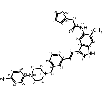 Cc1cc2[nH]nc(C=Cc3cccc(CN4CCN(c5ccc(F)cc5)CC4)c3)c2cc1NC(=O)Cc1cccs1